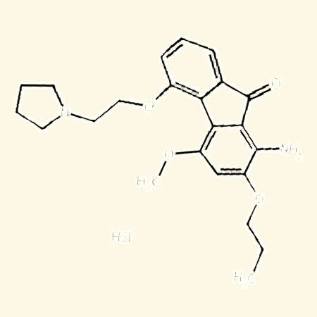 CCCOc1cc(OC)c2c(c1N)C(=O)c1cccc(OCCN3CCCC3)c1-2.Cl